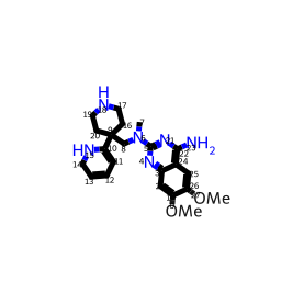 COc1cc2nc(N(C)CC3(C4=CC=CCN4)CCNCC3)nc(N)c2cc1OC